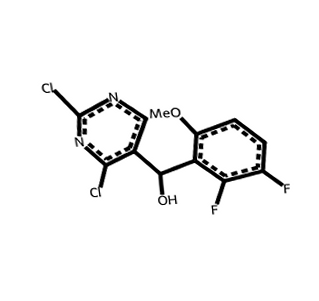 COc1ccc(F)c(F)c1C(O)c1cnc(Cl)nc1Cl